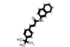 CC(C)(C)c1ccc(/C=C/C(=O)Nc2ccc3c(c2)CCCC3)cc1